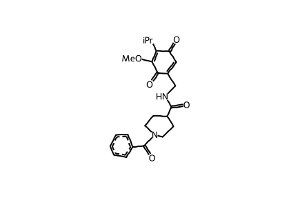 COC1=C(C(C)C)C(=O)C=C(CNC(=O)C2CCN(C(=O)c3ccccc3)CC2)C1=O